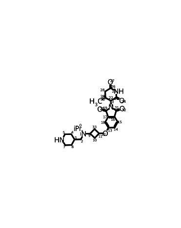 CC(C)N(CC1CCNCC1)C1CC(Oc2ccc3c(c2)C(=O)N([C@@H]2C(=O)NC(=O)C[C@@H]2C)C3=O)C1